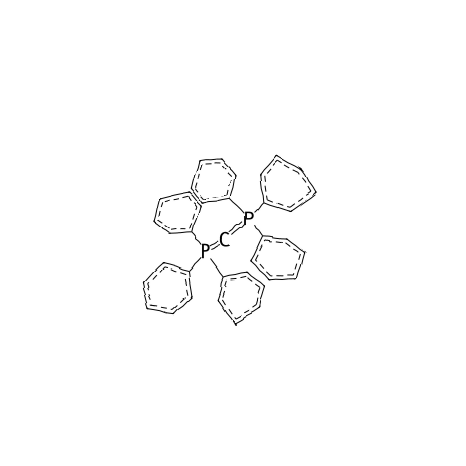 C(=P(c1ccccc1)(c1ccccc1)c1ccccc1)=P(c1ccccc1)(c1ccccc1)c1ccccc1